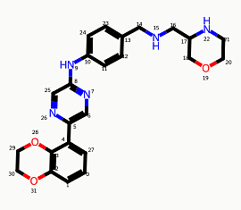 c1cc2c(c(-c3cnc(Nc4ccc(CNCC5COCCN5)cc4)cn3)c1)OCCO2